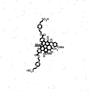 COc1c(O)c2c3c(c(OC)c4c5c(OC)c6c(c7c(O)c(NC8CCC(OC)CC8)c8c(c(c1C(C(C)=O)C(C)=C8)c24)c75)=NC(C(=O)OCCN1CCN(CCS(=O)(=O)O)CC1)CS6)SCC(C(=O)OCCN1CCN(CCS(=O)(=O)O)CC1)N=3